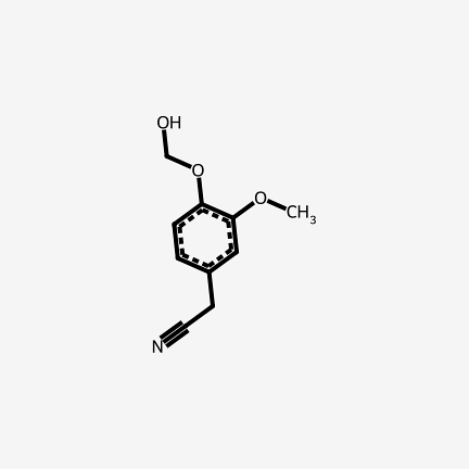 COc1cc(CC#N)ccc1OCO